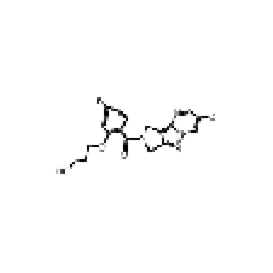 O=C(c1ccc(F)cc1OCCCO)N1Cc2nn3cc(Cl)cnc3c2C1